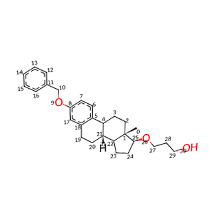 C[C@]12CCC3c4ccc(OCc5ccccc5)cc4CC[C@H]3C1CC[C@@H]2OCCCO